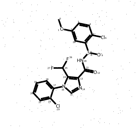 COc1ccc(Cl)c([S+]([O-])NC(=O)c2ncn(-c3ccccc3Cl)c2C(F)F)c1